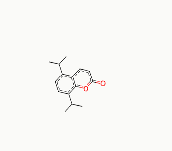 CC(C)c1ccc(C(C)C)c2oc(=O)ccc12